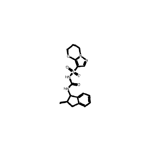 CC1Cc2ccccc2C1NC(=O)NS(=O)(=O)c1cnn2c1OCCC2